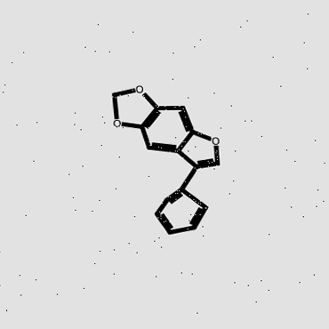 c1ccc(-c2coc3cc4c(cc23)OCO4)cc1